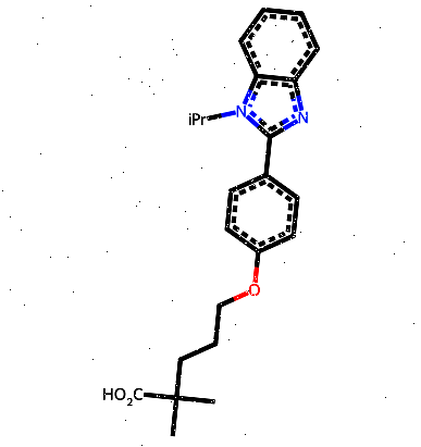 CC(C)n1c(-c2ccc(OCCCC(C)(C)C(=O)O)cc2)nc2ccccc21